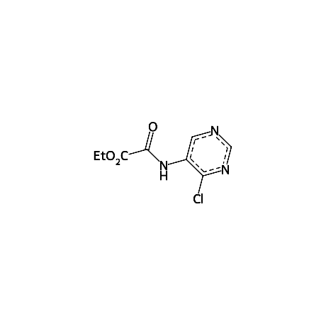 CCOC(=O)C(=O)Nc1cncnc1Cl